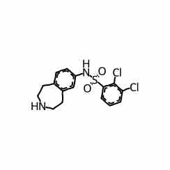 O=S(=O)(Nc1ccc2c(c1)CCNCC2)c1cccc(Cl)c1Cl